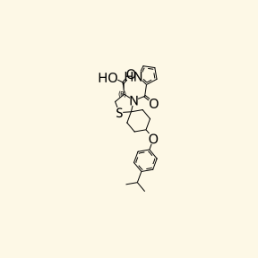 CC(C)c1ccc(OC2CCC3(CC2)SC[C@@H](C(=O)O)N3C(=O)c2ccc[nH]2)cc1